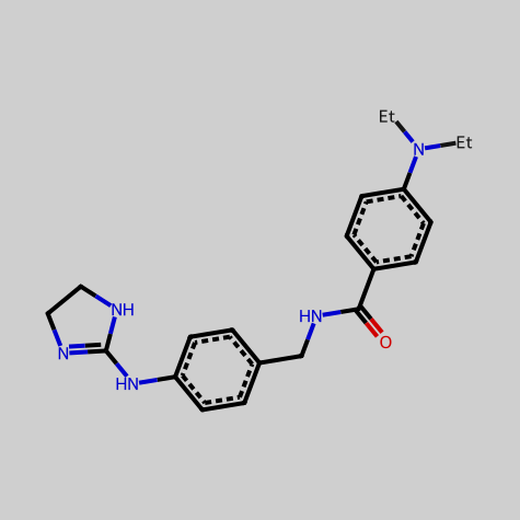 CCN(CC)c1ccc(C(=O)NCc2ccc(NC3=NCCN3)cc2)cc1